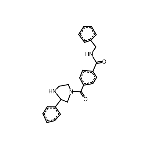 O=C(NCc1ccccc1)c1ccc(C(=O)N2CCNC(c3ccccc3)C2)cc1